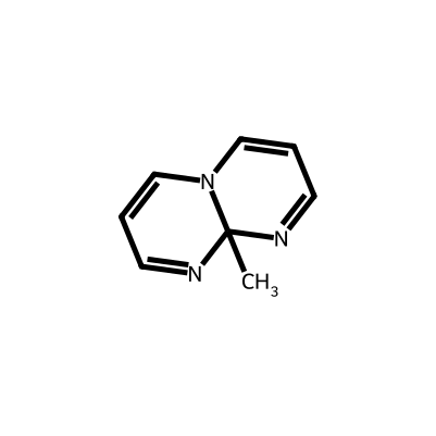 CC12N=CC=CN1C=CC=N2